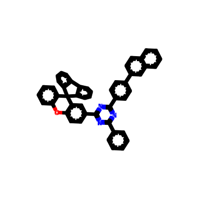 c1ccc(-c2nc(-c3ccc(-c4ccc5ccccc5c4)cc3)nc(-c3ccc4c(c3)C3(c5ccccc5O4)c4ccccc4-c4ccccc43)n2)cc1